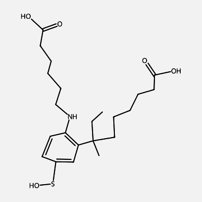 CCC(C)(CCCCCC(=O)O)c1cc(SO)ccc1NCCCCCC(=O)O